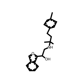 Cc1ccc(CCC(C)(C)NCC(O)c2occ3ccccc23)cc1